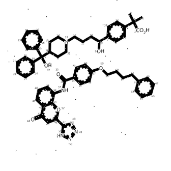 CC(C)(C(=O)O)c1ccc(C(O)CCCN2CCC(C(O)(c3ccccc3)c3ccccc3)CC2)cc1.O=C(Nc1cccc2c(=O)cc(-c3nnn[nH]3)oc12)c1ccc(OCCCCc2ccccc2)cc1